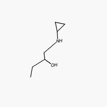 CCC(O)CNC1CC1